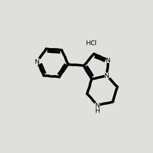 Cl.c1cc(-c2cnn3c2CNCC3)ccn1